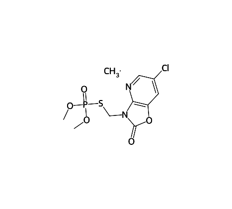 COP(=O)(OC)SCn1c(=O)oc2cc(Cl)cnc21.[CH3]